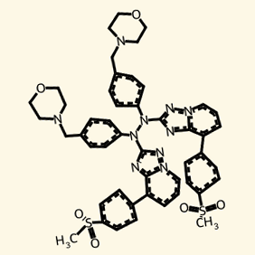 CS(=O)(=O)c1ccc(-c2cccn3nc(N(c4ccc(CN5CCOCC5)cc4)N(c4ccc(CN5CCOCC5)cc4)c4nc5c(-c6ccc(S(C)(=O)=O)cc6)cccn5n4)nc23)cc1